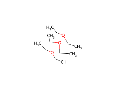 CCOCC.CCOCC.CCOCC